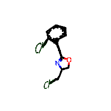 ClCC1COC(c2ccccc2Cl)=N1